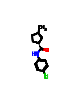 CC1CC[C@@H](C(=O)Nc2ccc(Cl)cc2)C1